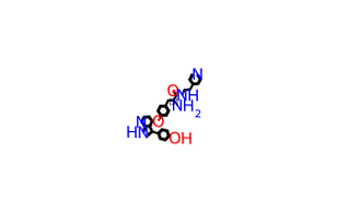 N[C@@H](Cc1ccc(Oc2ccnc3[nH]cc(-c4ccc(O)cc4)c23)cc1)C(=O)NCCc1ccncc1